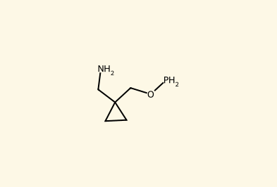 NCC1(COP)CC1